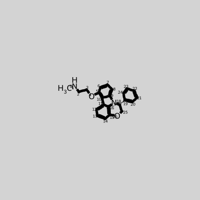 CNCCOc1cccc2c1c1cccc3c1n2[C@H](c1ccccc1)CO3